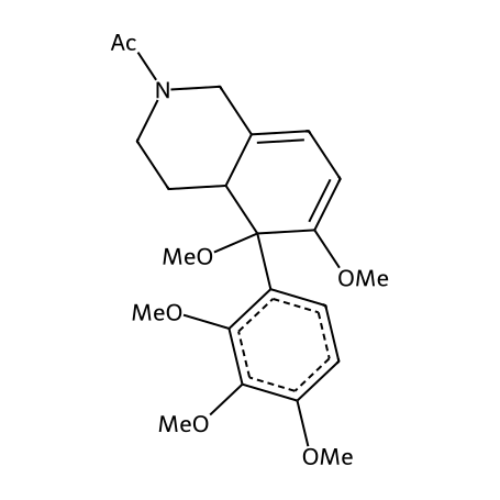 COC1=CC=C2CN(C(C)=O)CCC2C1(OC)c1ccc(OC)c(OC)c1OC